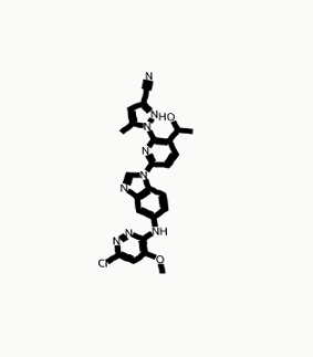 COc1cc(Cl)nnc1Nc1ccc2c(c1)ncn2-c1ccc(C(C)O)c(-n2nc(C#N)cc2C)n1